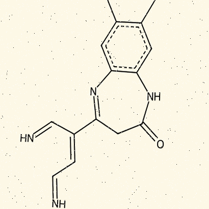 Cc1cc2c(cc1C)NC(=O)CC(/C(C=N)=C/C=N)=N2